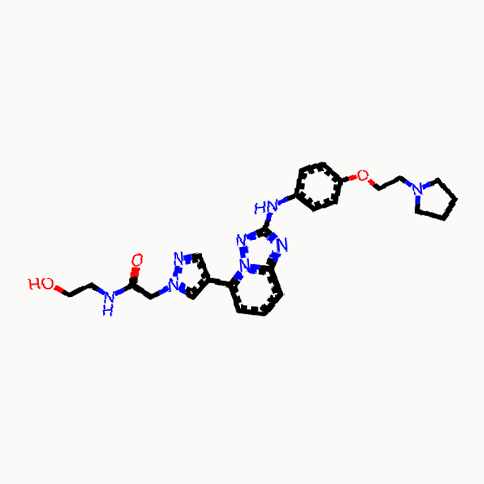 O=C(Cn1cc(-c2cccc3nc(Nc4ccc(OCCN5CCCC5)cc4)nn23)cn1)NCCO